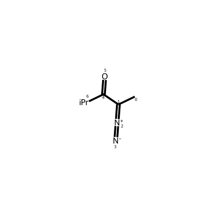 CC(=[N+]=[N-])C(=O)C(C)C